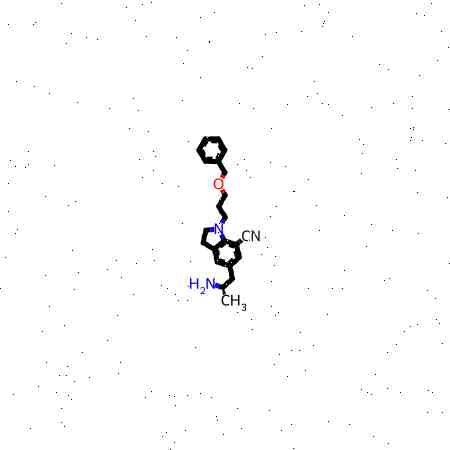 C[C@@H](N)Cc1cc(C#N)c2c(c1)CCN2CCCOCc1ccccc1